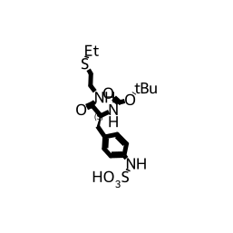 CCSCCNC(=O)[C@H](Cc1ccc(NS(=O)(=O)O)cc1)NC(=O)OC(C)(C)C